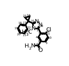 Cn1c(-c2cc(C(N)=O)ccc2Cl)nnc1C1(c2ccccc2)CC1